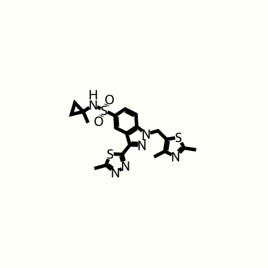 Cc1nnc(-c2nn(Cc3sc(C)nc3C)c3ccc(S(=O)(=O)NC4(C)CC4)cc23)s1